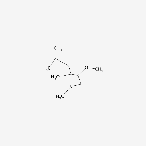 COC1CN(C)C1(C)CC(C)C